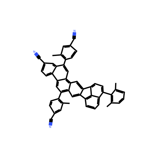 Cc1cc(C#N)ccc1-c1cc2c3cc4c(cc3c(-c3ccc(C#N)cc3C)cc2c2ccc(C#N)cc12)-c1cccc2c(-c3c(C)cccc3C)ccc-4c12